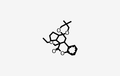 CCOCC12C(=O)Oc3ccccc3C1CC1(OCC(C)(C)CO1)C1CCCC12